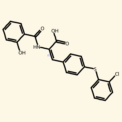 O=C(O)/C(=C\c1ccc(Sc2ccccc2Cl)cc1)NC(=O)c1ccccc1O